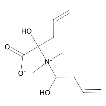 C=CCC(O)[N+](C)(C)C(O)(CC=C)C(=O)[O-]